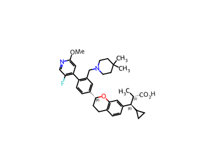 COc1cc(-c2ccc([C@H]3CCc4ccc([C@H](C5CC5)[C@H](C)C(=O)O)cc4O3)cc2CN2CCC(C)(C)CC2)c(F)cn1